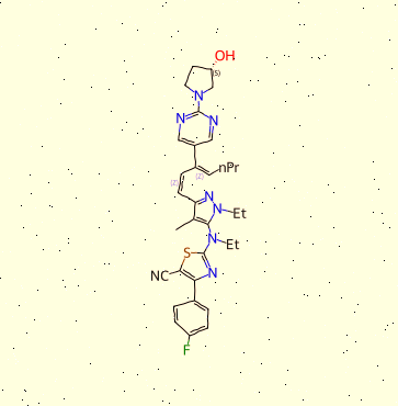 CCC/C=C(/C=C\c1nn(CC)c(N(CC)c2nc(-c3ccc(F)cc3)c(C#N)s2)c1C)c1cnc(N2CC[C@H](O)C2)nc1